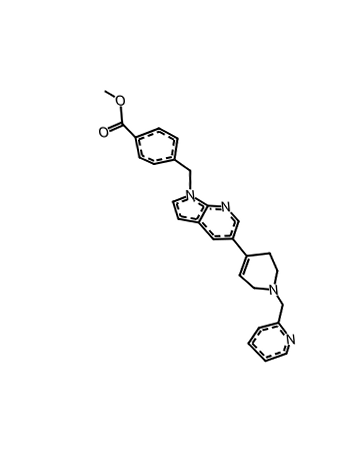 COC(=O)c1ccc(Cn2ccc3cc(C4=CCN(Cc5ccccn5)CC4)cnc32)cc1